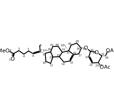 COC(=O)CCC/C=C(\C)[C@H]1CCC2C3CC=C4C[C@@H](OC5C=C[C@H](OC(C)=O)[C@@H](COC(C)=O)O5)CC[C@]4(C)C3CC[C@@]21C